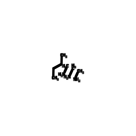 CCCC.CN.CN.CN